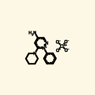 Nc1cn[n+](-c2ccccc2)c(N2CCCCC2)c1.[O-][Cl+3]([O-])([O-])[O-]